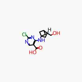 O=C(O)c1cnc(Cl)nc1NC12CC(C1)[C@@H](CO)C2